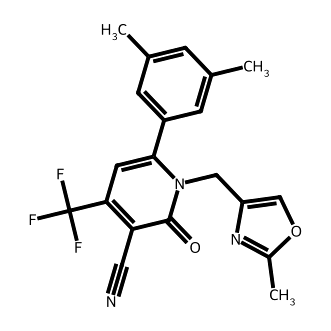 Cc1cc(C)cc(-c2cc(C(F)(F)F)c(C#N)c(=O)n2Cc2coc(C)n2)c1